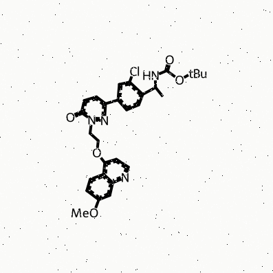 COc1ccc2c(OCCn3nc(-c4ccc(C(C)NC(=O)OC(C)(C)C)c(Cl)c4)ccc3=O)ccnc2c1